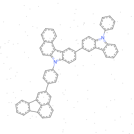 c1ccc(-n2c3ccccc3c3cc(-c4ccc5c(c4)c4c6ccccc6ccc4n5-c4ccc(-c5cc6c7c(cccc7c5)-c5ccccc5-6)cc4)ccc32)cc1